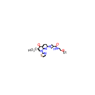 CCOCCNC(=O)C1CN(C2CC=c3c(=O)c(C(=O)O)cn(-c4nccs4)c3=N2)C1